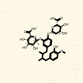 COc1ccc(CC(C)C(C)Cc2ccc(O[C@H]3C[C@@H](O)[C@H](O)[C@@H](C(=O)O)O3)c(O[C@]3(C)O[C@H](C(=O)O)[C@@H](O)[C@H](O)[C@H]3O)c2)cc1O